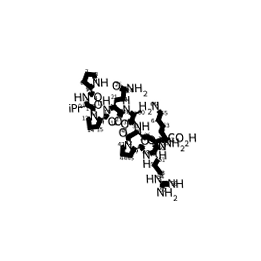 CC(C)[C@H](NC(=O)[C@@H]1CCCN1)C(=O)N1CCC[C@H]1C(=O)N[C@@H](CCC(N)=O)C(=O)N[C@@H](C)C(=O)N[C@@H](CCCCN)C(=O)N1CCC[C@H]1C(=O)N[C@@H](CCCNC(=N)N)C(=O)N[C@@H](CCCCN)C(=O)O